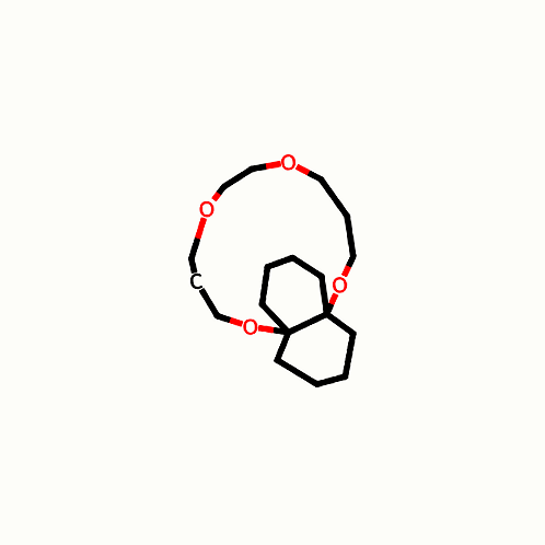 C1COCCOCCCOC23CCCCC2(CCCC3)OC1